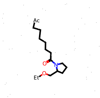 CCOCC1CCCN1C(=O)CCCCCCC(C)=O